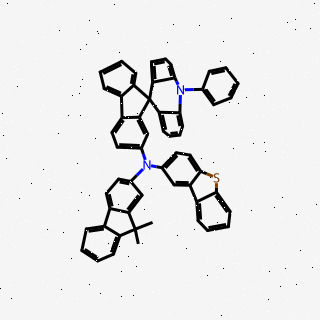 CC1(C)c2ccccc2-c2ccc(N(c3ccc4c(c3)C3(c5ccccc5-4)c4ccccc4N(c4ccccc4)c4ccccc43)c3ccc4sc5ccccc5c4c3)cc21